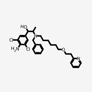 CC(C(O)c1cc(Cl)c(N)c(Cl)c1)N(CCCCCCOCCc1ccccn1)Cc1ccccc1